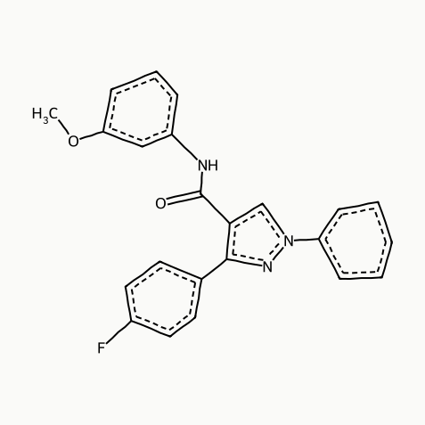 COc1cccc(NC(=O)c2cn(-c3ccccc3)nc2-c2ccc(F)cc2)c1